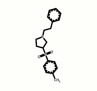 Cc1ccc(S(=O)(=O)C2CCN(CCc3ccccc3)C2)cc1